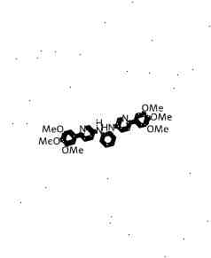 COc1cc(-c2ccc(N[C@H]3CCCC[C@H]3Nc3ccc(-c4cc(OC)c(OC)c(OC)c4)nc3)cn2)cc(OC)c1OC